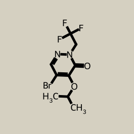 CC(C)Oc1c(Br)cnn(CC(F)(F)F)c1=O